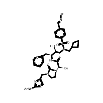 CC[C@H](C)[C@@H](C(=O)N[C@@H](Cc1ccccc1)[C@@H](O)CN(CC1CCC1)S(=O)(=O)c1ccc(C=NO)cc1)N1CCN(Cc2csc(NC(C)=O)n2)C1=O